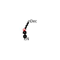 CCCCCCCCCCCCCCCCCCOc1ccc(-c2ccc(C#N)cc2)cc1